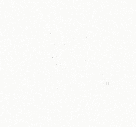 C=C1C=C(c2ccccc2)Oc2cc3c(cc21)B1c2c(c4c5ccccc5sc4c4c5cc(C(C)(C)C)ccc5n-3c24)-c2cc3sc4cc(C(C)(C)C)ccc4c3cc2N1c1ccc(C(C)(C)C)cc1